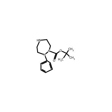 CC(C)(C)OC(=O)N1CCNCCN1c1ccccc1